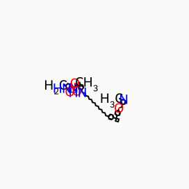 C=C1CCC(N(C=O)C(=O)c2cc(NCCCCCCCCCCCCCCc3ccc(C4(c5ccc(OCc6ccnc(C)c6)cc5)CCC4)cc3)ccc2C)C(=O)N1